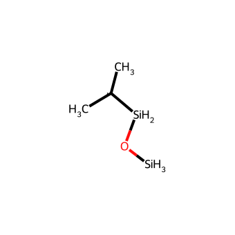 C[C](C)[SiH2]O[SiH3]